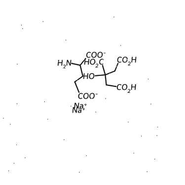 NC(CCC(=O)[O-])C(=O)[O-].O=C(O)CC(O)(CC(=O)O)C(=O)O.[Na+].[Na+]